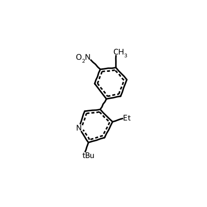 CCc1cc(C(C)(C)C)ncc1-c1ccc(C)c([N+](=O)[O-])c1